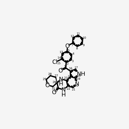 O=C(c1ccc(Oc2ccccc2)cc1Cl)c1c[nH]c2ncc3c(c12)N[C@]1(CCCOC1)C(=O)N3